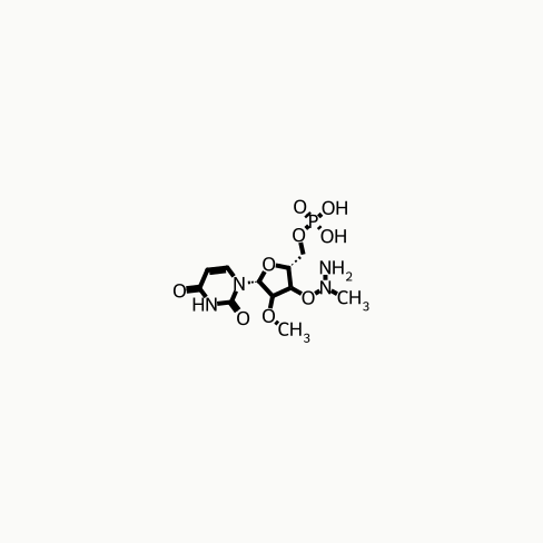 COC1C(ON(C)N)[C@@H](COP(=O)(O)O)O[C@H]1n1ccc(=O)[nH]c1=O